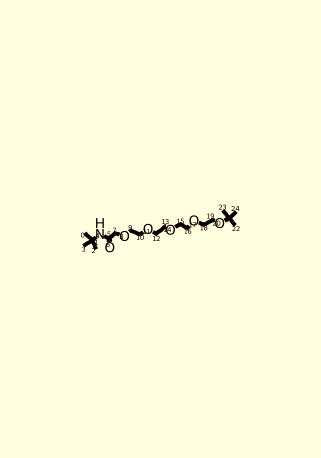 CC(C)(C)NC(=O)COCCOCCOCCOCCOC(C)(C)C